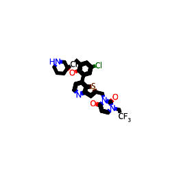 Cc1cc(Cl)cc(-c2ccnc3cc(Cn4c(=O)ccn(CC(F)(F)F)c4=O)sc23)c1OC1(C(F)(F)F)CCCNC1